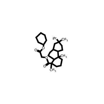 CC(C)C1(C)CCC2C(CCC3C(C)(C(=O)OCC(=O)OC4CCCCC4)CCCC23C)C1